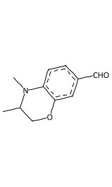 CC1COc2cc(C=O)ccc2N1C